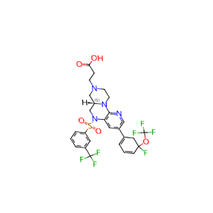 O=C(O)CCN1CCN2c3ncc(C4=CC=CC(F)(OC(F)(F)F)C4)cc3N(S(=O)(=O)c3cccc(C(F)(F)F)c3)C[C@@H]2C1